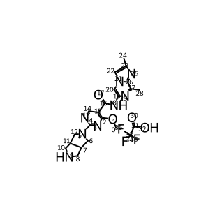 COc1nc(N2CC3CNCC3C2)ncc1C(=O)Nc1cn2cc(C)nc2c(C)n1.O=C(O)C(F)(F)F